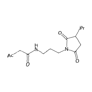 CC(=O)CC(=O)NCCCN1C(=O)CC(C(C)C)C1=O